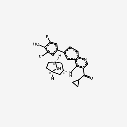 O=C(c1cnc2ccc(-c3cc(F)c(O)c(Cl)c3)cc2c1N[C@@H]1C[C@H]2CC[C@@H](C1)N2)C1CC1